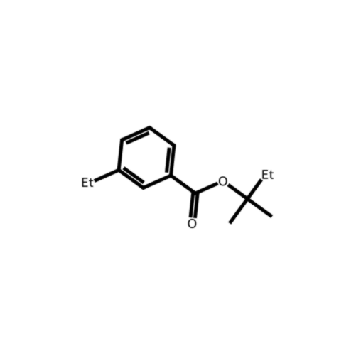 CCc1cccc(C(=O)OC(C)(C)CC)c1